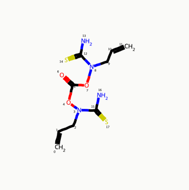 C=CCN(OC(=O)ON(CC=C)C(N)=S)C(N)=S